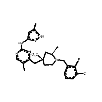 Cc1cc(Nc2ncc(C)c(C[C@@]3(C(=O)O)CCN(Cc4cccc(Cl)c4F)[C@H](C)C3)n2)n[nH]1